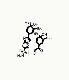 CC(C)(C)C1=CC(C(=O)CBr)C=CC1(O)C(C)(C)C.CC(C)(C)C1=CC(c2cn3nc(S(N)(=O)=O)sc3n2)C=CC1(O)C(C)(C)C